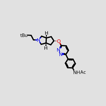 CC(=O)Nc1ccc(-c2ccc(O[C@@H]3C[C@@H]4CN(CCC(C)(C)C)C[C@@H]4C3)nn2)cc1